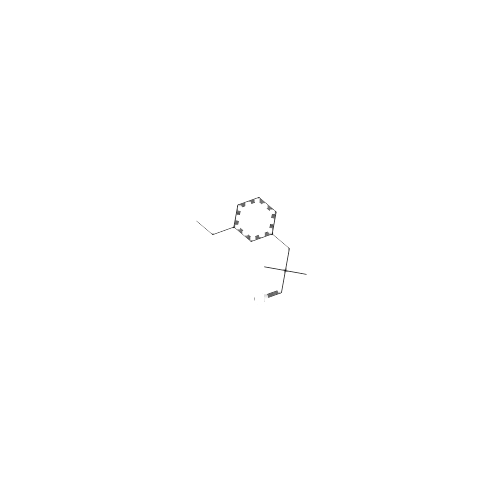 CCc1cccc(CC(C)(C)C=O)c1